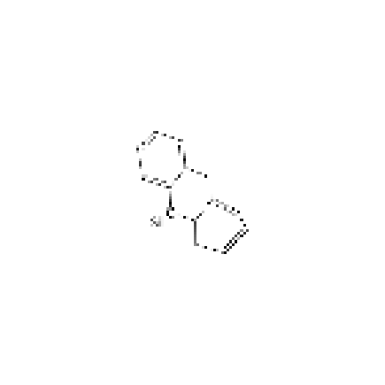 [Si].c1ccc2c(c1)Cc1ccccc1O2